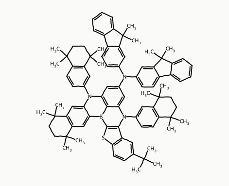 CC(C)(C)c1ccc2sc3c(c2c1)N(c1ccc2c(c1)C(C)(C)CCC2(C)C)c1cc(N(c2ccc4c(c2)C(C)(C)c2ccccc2-4)c2ccc4c(c2)C(C)(C)c2ccccc2-4)cc2c1B3c1cc3c(cc1N2c1ccc2c(c1)C(C)(C)CCC2(C)C)C(C)(C)CCC3(C)C